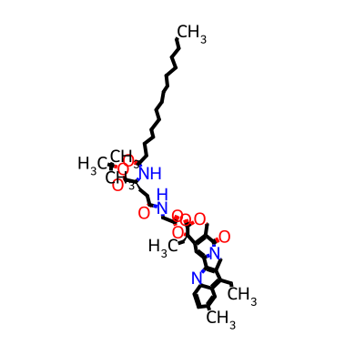 CCCCCCCCCCCCCCCC(=O)N[C@@H](CCC(=O)NCC(=O)O[C@]1(CC)C(=O)OCc2c1cc1n(c2=O)Cc2c-1nc1ccc(C)cc1c2CC)C(=O)OC(C)(C)C